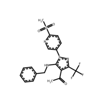 CC(=O)c1c(C(F)(F)F)nn(-c2ccc(S(C)(=O)=O)nc2)c1NCc1ccccc1